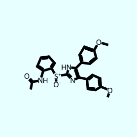 COc1ccc(-c2nc([S+]([O-])c3ccccc3NC(C)=O)[nH]c2-c2ccc(OC)cc2)cc1